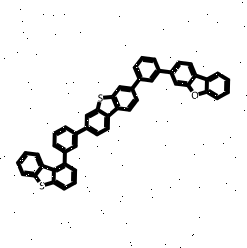 c1cc(-c2ccc3c(c2)oc2ccccc23)cc(-c2ccc3c(c2)sc2cc(-c4cccc(-c5cccc6sc7ccccc7c56)c4)ccc23)c1